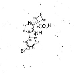 O=C(O)C1(C2=NCCc3c2[nH]c2ccc(Br)cc32)CCC1